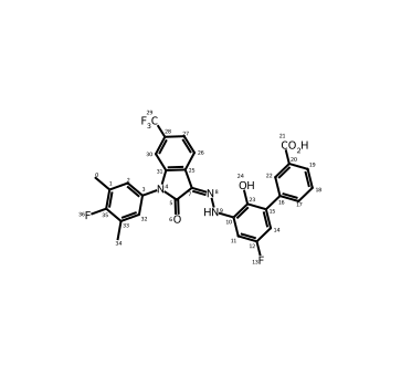 Cc1cc(N2C(=O)C(=NNc3cc(F)cc(-c4cccc(C(=O)O)c4)c3O)c3ccc(C(F)(F)F)cc32)cc(C)c1F